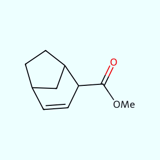 COC(=O)C1C=CC2CCC1C2